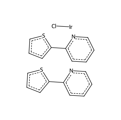 [Cl][Ir].c1ccc(-c2cccs2)nc1.c1ccc(-c2cccs2)nc1